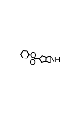 O=C(OC1CCCCC1)C1CC2CNCC2C1